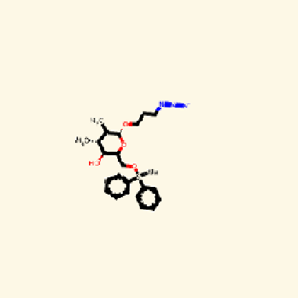 CC1[C@H](OCCCN=[N+]=[N-])OC(CO[Si](c2ccccc2)(c2ccccc2)C(C)(C)C)[C@@H](O)[C@@H]1C